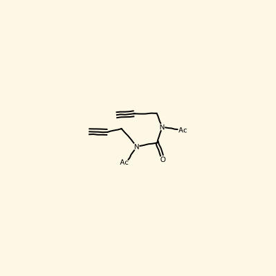 C#CCN(C(C)=O)C(=O)N(CC#C)C(C)=O